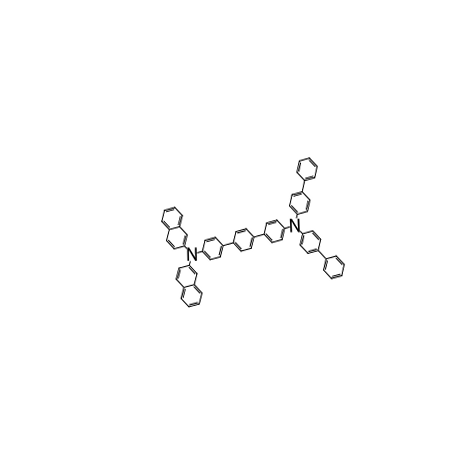 c1ccc(-c2ccc(N(c3ccc(-c4ccccc4)cc3)c3ccc(-c4ccc(-c5ccc(N(c6ccc7ccccc7c6)c6ccc7ccccc7c6)cc5)cc4)cc3)cc2)cc1